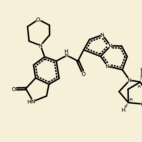 O=C1NCc2cc(NC(=O)c3cnn4ccc(N5C[C@H]6C[C@@H]5CO6)nc34)c(N3CCOCC3)cc21